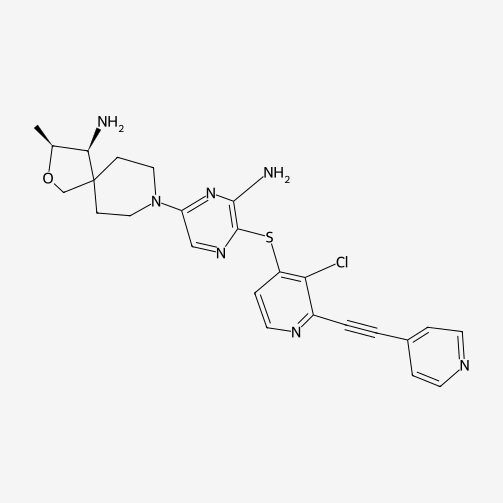 C[C@@H]1OCC2(CCN(c3cnc(Sc4ccnc(C#Cc5ccncc5)c4Cl)c(N)n3)CC2)[C@@H]1N